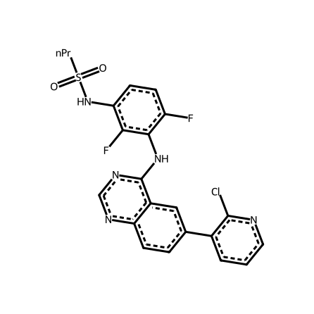 CCCS(=O)(=O)Nc1ccc(F)c(Nc2ncnc3ccc(-c4cccnc4Cl)cc23)c1F